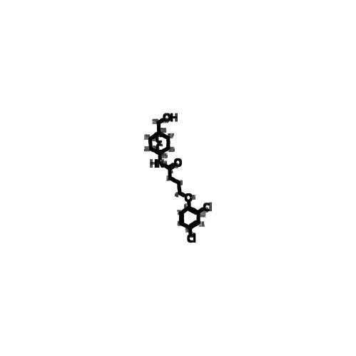 O=C(CCCOc1ccc(Cl)cc1Cl)NC12CCC(CO)(CC1)CC2